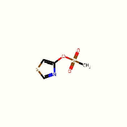 CS(=O)(=O)Oc1cscn1